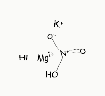 I.O=[N+]([O-])O.[K+].[Mg+2]